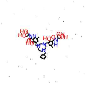 Cc1cc(CN2CCCN(Cc3ccccc3)CCN(Cc3cc(C)cc(C(=O)NC(CO)CO)c3O)CC2)c(O)c(C(=O)NC(CO)CO)c1